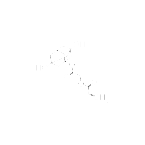 C=CC(=O)OCC(=O)OC12CC3CC(O)(CC(O)(C3)C1)C2